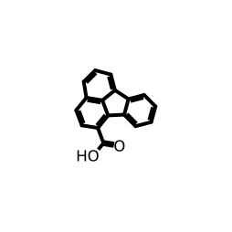 O=C(O)c1ccc2cccc3c2c1-c1ccccc1-3